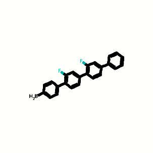 Bc1ccc(-c2ccc(-c3ccc(-c4ccccc4)cc3F)cc2F)cc1